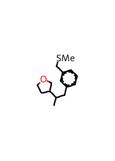 CSCc1cccc(CC(C)C2CCOC2)c1